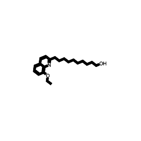 CCOc1cccc2ccc(CCCCCCCCCCO)nc12